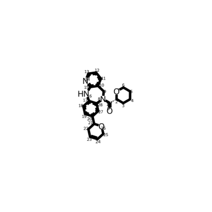 O=C([C@H]1CCCCO1)N1Cc2cccnc2Nc2ccc(C3CC=CCO3)cc21